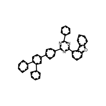 c1ccc(-c2nc(-c3ccc(-c4ccc(-c5ccccc5)c(-c5ccccc5)c4)cc3)nc(-c3cccc4oc5ccccc5c34)n2)cc1